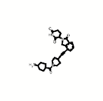 NC1CCC(C(=O)N2CCC(C#Cc3cccc4c3CN(C3CCC(=O)NC3=O)C4=O)CC2)CC1